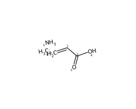 C=CC(=O)O.N.[CH3]